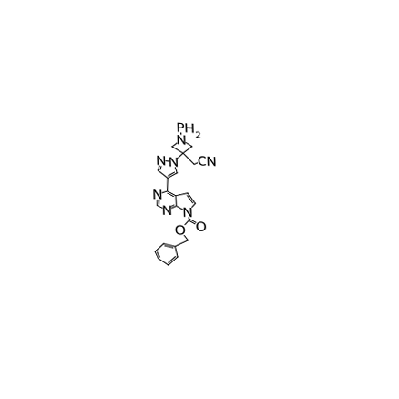 N#CCC1(n2cc(-c3ncnc4c3ccn4C(=O)OCc3ccccc3)cn2)CN(P)C1